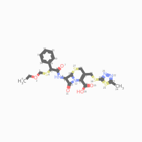 CCOCSC(C(=O)NC1C(=O)N2C(C(=O)O)=C(CSc3nnc(C)s3)CSC12)c1ccccc1